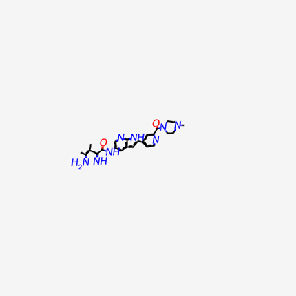 C/C(N)=C(\C)C(=N)C(=O)Nc1cnc2[nH]c(-c3ccnc(C(=O)N4CCN(C)CC4)c3)cc2c1